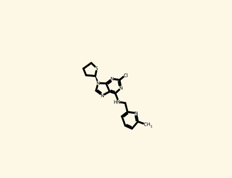 Cc1cccc(CNc2nc(Cl)nc3c2ncn3[C@H]2CCCS2)n1